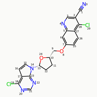 N#Cc1cnc2cc(OC[C@@H]3CC[C@H](n4ccc5c(Cl)ncnc54)O3)ccc2c1Cl